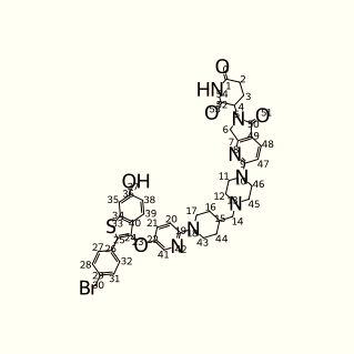 O=C1CCC(N2Cc3nc(N4CCN(CC5CCN(c6ccc(Oc7c(-c8ccc(Br)cc8)sc8cc(O)ccc78)cn6)CC5)CC4)ccc3C2=O)C(=O)N1